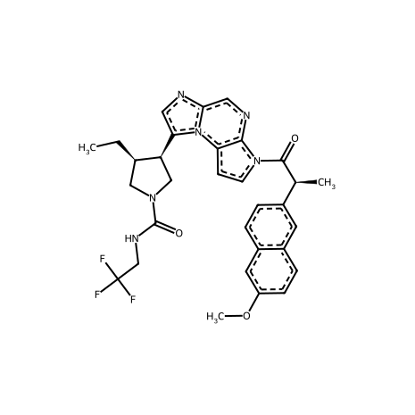 CC[C@@H]1CN(C(=O)NCC(F)(F)F)C[C@@H]1c1cnc2cnc3c(ccn3C(=O)[C@@H](C)c3ccc4cc(OC)ccc4c3)n12